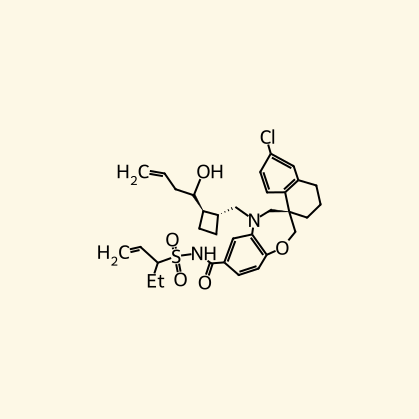 C=CCC(O)[C@@H]1CC[C@H]1CN1C[C@@]2(CCCc3cc(Cl)ccc32)COc2ccc(C(=O)NS(=O)(=O)C(C=C)CC)cc21